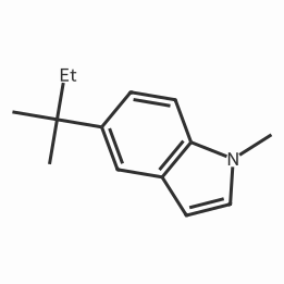 CCC(C)(C)c1ccc2c(ccn2C)c1